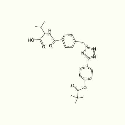 CC(C)[C@H](NC(=O)c1ccc(Cn2nnc(-c3ccc(OC(=O)C(C)(C)C)cc3)n2)cc1)C(=O)O